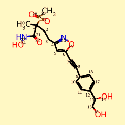 CC(CCc1cc(C#Cc2ccc([C@@H](O)CO)cc2)on1)(C(=O)NO)S(C)(=O)=O